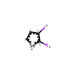 Ic1cc[se]c1I